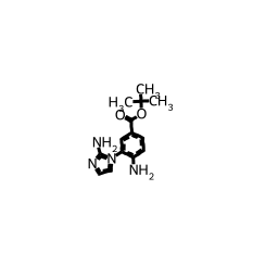 CC(C)(C)OC(=O)c1ccc(N)c(-n2ccnc2N)c1